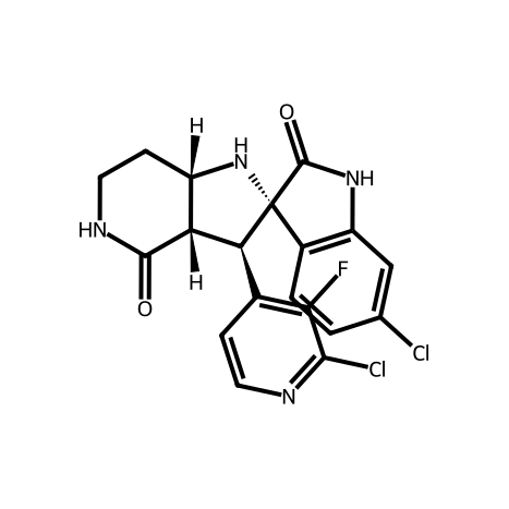 O=C1NCC[C@@H]2N[C@@]3(C(=O)Nc4cc(Cl)ccc43)[C@@H](c3ccnc(Cl)c3F)[C@H]12